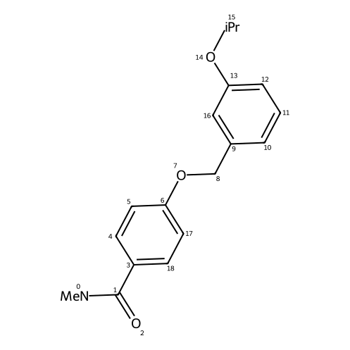 CNC(=O)c1ccc(OCc2cccc(OC(C)C)c2)cc1